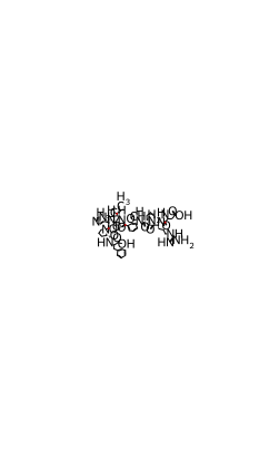 CCC(C)[C@H](NC(=O)c1cccc(NC(=O)[C@@H]2CCCN2C(=O)[C@H](CCCNC(=N)N)NC(=O)[C@@H](N)CC(=O)O)c1OC)C(=O)N[C@H](C(=O)N1CCC[C@H]1C(=O)NC(Cc1ccccc1)C(=O)O)c1cnc[nH]1